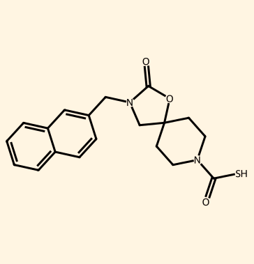 O=C(S)N1CCC2(CC1)CN(Cc1ccc3ccccc3c1)C(=O)O2